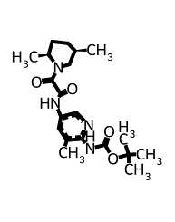 Cc1cc(NC(=O)C(=O)N2C[C@H](C)CC[C@@H]2C)cnc1NC(=O)OC(C)(C)C